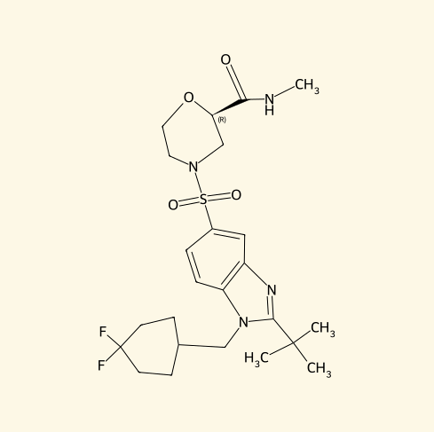 CNC(=O)[C@H]1CN(S(=O)(=O)c2ccc3c(c2)nc(C(C)(C)C)n3CC2CCC(F)(F)CC2)CCO1